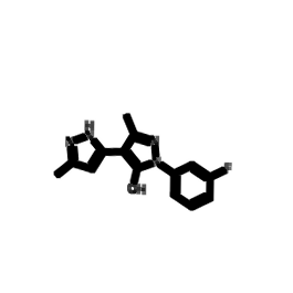 Cc1cc(-c2c(C)nn(-c3cccc(F)c3)c2O)[nH]n1